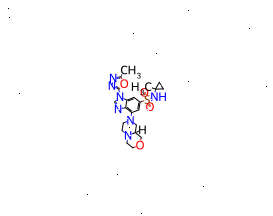 Cc1nnc(-n2cnc3c(N4CCN5CCOC[C@H]5C4)cc(S(=O)(=O)NC4(C)CC4)cc32)o1